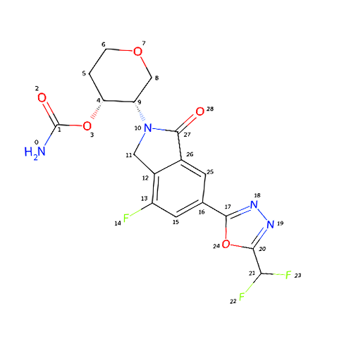 NC(=O)O[C@@H]1CCOC[C@@H]1N1Cc2c(F)cc(-c3nnc(C(F)F)o3)cc2C1=O